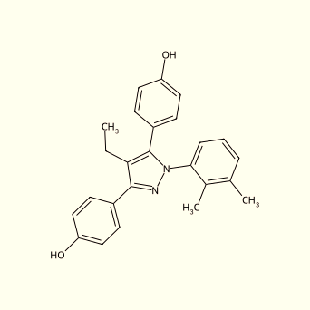 CCc1c(-c2ccc(O)cc2)nn(-c2cccc(C)c2C)c1-c1ccc(O)cc1